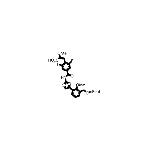 CCCCCOCc1cccc(-c2csc(NC(=O)c3cc(F)c(C=C(OC)C(=O)O)c(F)c3)n2)c1OC